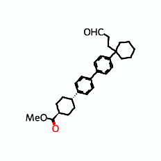 COC(=O)[C@H]1CC[C@H](c2ccc(-c3ccc(C4(CCC=O)CCCCC4)cc3)cc2)CC1